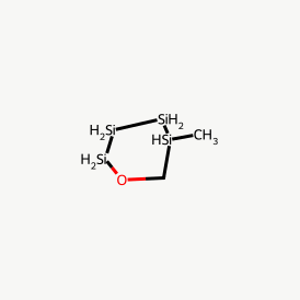 C[SiH]1CO[SiH2][SiH2][SiH2]1